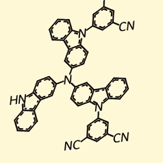 N#Cc1cc(C#N)cc(-n2c3ccccc3c3cc(N(c4ccc5[nH]c6ccccc6c5c4)c4ccc5c(c4)c4ccccc4n5-c4cc(C#N)cc(C#N)c4)ccc32)c1